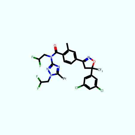 Cc1cc(C2=NOC(c3cc(Cl)cc(Cl)c3)(C(F)(F)F)C2)ccc1C(=O)N(CC(F)F)c1nc(C(C)C)n(CC(F)F)n1